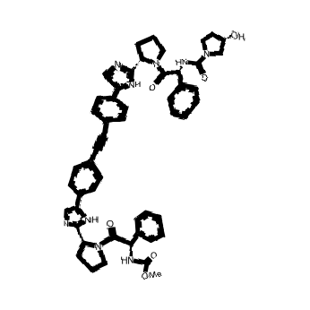 COC(=O)N[C@@H](C(=O)N1CCC[C@H]1c1ncc(-c2ccc(C#Cc3ccc(-c4cnc([C@@H]5CCCN5C(=O)[C@H](NC(=O)N5CC[C@H](O)C5)c5ccccc5)[nH]4)cc3)cc2)[nH]1)c1ccccc1